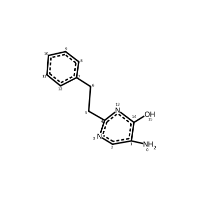 Nc1cnc(CCc2ccccc2)nc1O